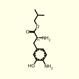 CC(C)COC(=O)[C@@H](N)Cc1ccc(N)c(O)c1